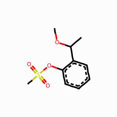 COC(C)c1ccccc1OS(C)(=O)=O